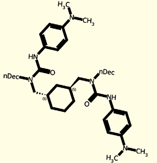 CCCCCCCCCCN(C[C@H]1CCC[C@H](CN(CCCCCCCCCC)C(=O)Nc2ccc(N(C)C)cc2)C1)C(=O)Nc1ccc(N(C)C)cc1